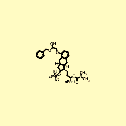 CCCCC[C@@H](CC[C@H]1C(O[Si](CC)(CC)CC)C[C@@H]2Cc3c(cccc3OCC(O)OCc3ccccc3)C[C@@H]21)OC(=O)N(C)C